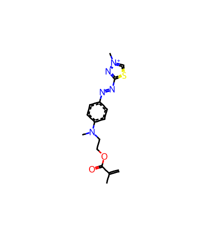 C=C(C)C(=O)OCCN(C)c1ccc(/N=N/c2n[n+](C)cs2)cc1